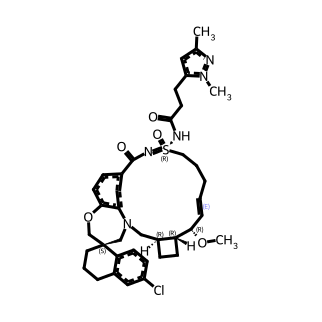 CO[C@H]1/C=C/CCC[S@@](=O)(NC(=O)CCc2cc(C)nn2C)=NC(=O)c2ccc3c(c2)N(C[C@@H]2CC[C@H]21)C[C@@]1(CCCc2cc(Cl)ccc21)CO3